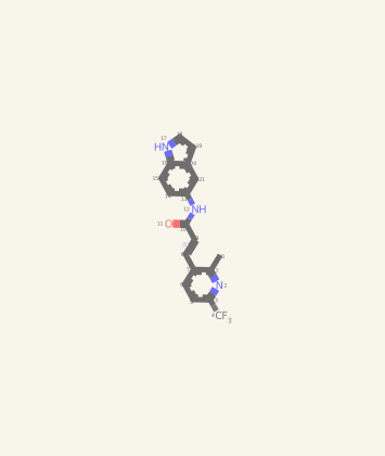 Cc1nc(C(F)(F)F)ccc1/C=C/C(=O)Nc1ccc2[nH]ccc2c1